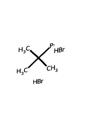 Br.Br.CC(C)(C)[P]